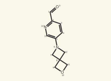 O=Cc1ccc(N2CC3(COC3)C2)cn1